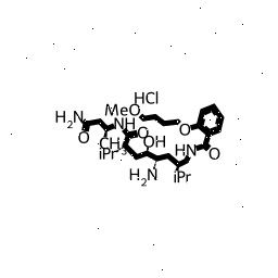 COCCCCOc1ccccc1C(=O)NC[C@H](C[C@H](N)[C@@H](O)C[C@@H](C(=O)N[C@@H](C)CC(N)=O)C(C)C)C(C)C.Cl